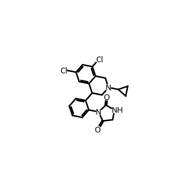 O=C1CNC(=O)N1c1ccccc1C1CN(C2CC2)Cc2c(Cl)cc(Cl)cc21